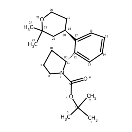 CC(C)(C)OC(=O)N1CCC[C@@H]1c1ccccc1[C@@H]1CCOC(C)(C)C1